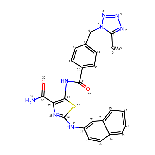 CSc1nnnn1Cc1ccc(C(=O)Nc2sc(Nc3ccc4ccccc4c3)nc2C(N)=O)cc1